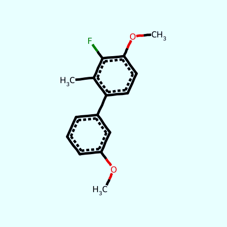 COc1cccc(-c2ccc(OC)c(F)c2C)c1